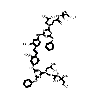 CC(O)CN(CCC(=O)NC(C)(C)CS(=O)(=O)O)c1nc(Nc2ccccc2)nc(Nc2ccc(/C=C/c3ccc(Nc4nc(Nc5ccccc5)nc(N(CCC(=O)NC(C)(C)CS(=O)(=O)O)CC(C)O)n4)cc3S(=O)(=O)O)c(S(=O)(=O)O)c2)n1